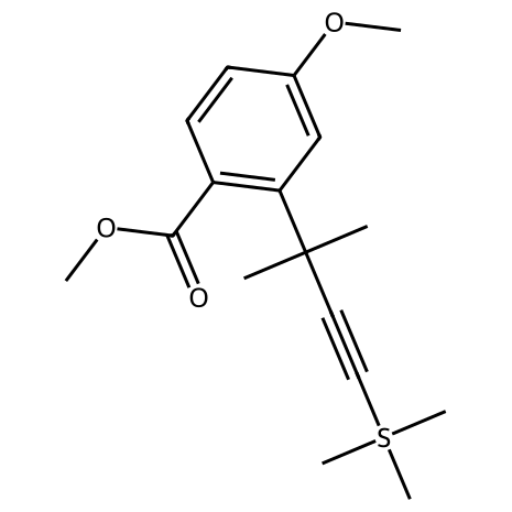 COC(=O)c1ccc(OC)cc1C(C)(C)C#CS(C)(C)C